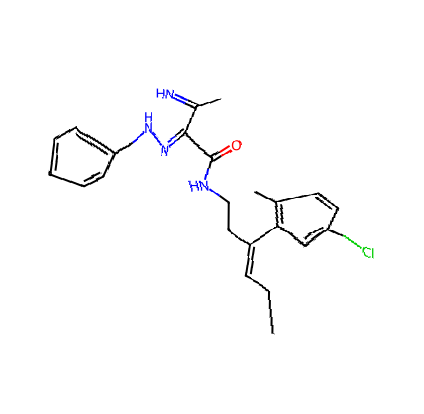 CC/C=C(/CCNC(=O)/C(=N/Nc1ccccc1)C(C)=N)c1cc(Cl)ccc1C